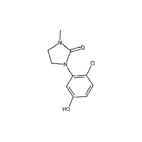 CN1CCN(c2cc(O)ccc2Cl)C1=O